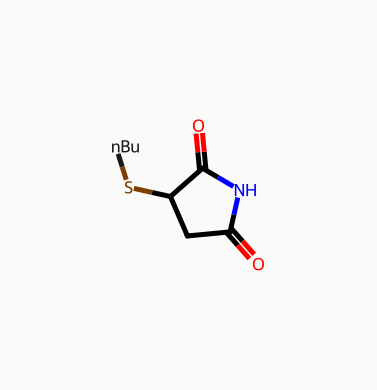 CCCCSC1CC(=O)NC1=O